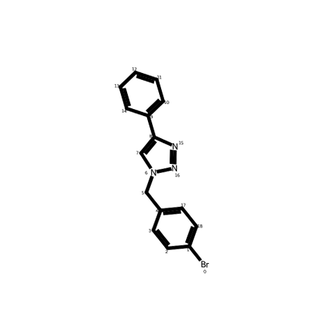 Brc1ccc(Cn2cc(-c3ccccc3)nn2)cc1